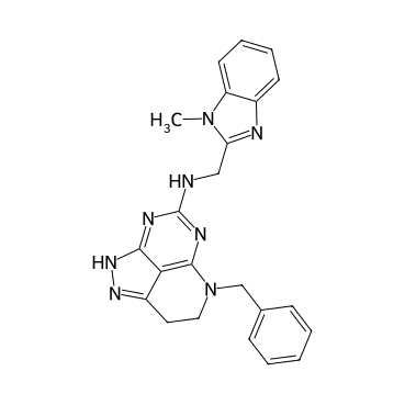 Cn1c(CNc2nc3c4c(n[nH]c4n2)CCN3Cc2ccccc2)nc2ccccc21